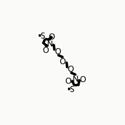 CSC1CC(=O)N(CCOCCOCCOCCN2C(=O)CC(SC)C2=O)C1=O